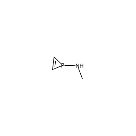 CNP1C=C1